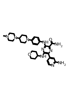 CN1CCN(C2CCN(c3ccc(Nc4nc(NC5CCOCC5)c(-c5ccnc(N)c5)nc4C(N)=O)cc3)CC2)CC1